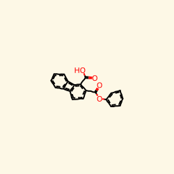 O=C(Oc1ccccc1)c1ccc2c(c1C(=O)O)=c1ccccc1=2